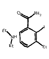 CCNCC.CCc1cccc(C(N)=O)c1I